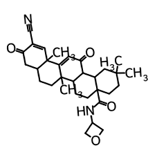 CC1(C)CCC2(C(=O)NC3COC3)CCC3C(C(=O)C=C4C5(C)C=C(C#N)C(=O)CC5CCC43C)C2C1